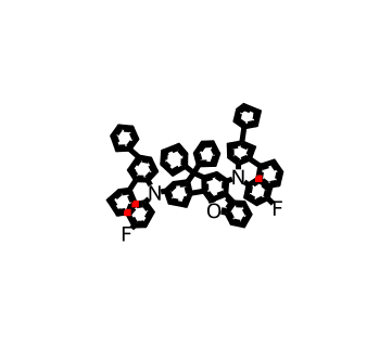 Fc1ccc(N(c2ccc3c(c2)C(c2ccccc2)(c2ccccc2)c2cc(N(c4ccc(F)cc4)c4ccc(-c5ccccc5)cc4-c4ccccc4)c4c(oc5ccccc54)c2-3)c2ccc(-c3ccccc3)cc2-c2ccccc2)cc1